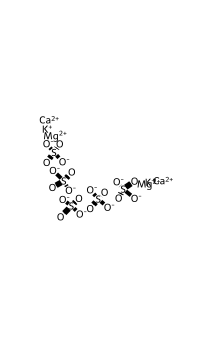 O=S(=O)([O-])[O-].O=S(=O)([O-])[O-].O=S(=O)([O-])[O-].O=S(=O)([O-])[O-].O=S(=O)([O-])[O-].[Ca+2].[Ca+2].[K+].[K+].[Mg+2].[Mg+2]